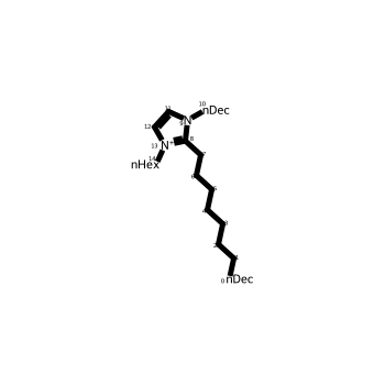 CCCCCCCCCCCCCCCCCc1n(CCCCCCCCCC)cc[n+]1CCCCCC